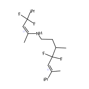 C/C(=C/C(F)(F)C(C)C)NCCC(C)C(F)(F)/C=C(\C)C(C)C